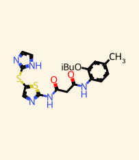 Cc1ccc(NC(=O)CC(=O)Nc2ncc(Sc3ncc[nH]3)s2)c(OCC(C)C)c1